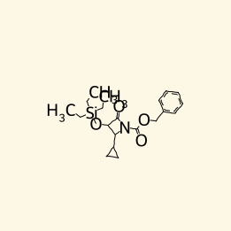 CC[Si](CC)(CC)OC1C(=O)N(C(=O)OCc2ccccc2)C1C1CC1